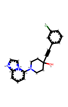 OC1(C#Cc2cccc(Cl)c2)CCN(c2cccc3nccn23)CC1